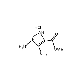 COC(=O)c1[nH]cc(N)c1C.Cl